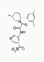 Cc1cc(C)cc([C@H]2CC[C@H](C)CN2C(=O)C(=O)Nc2cncc(C(N)=O)c2)c1